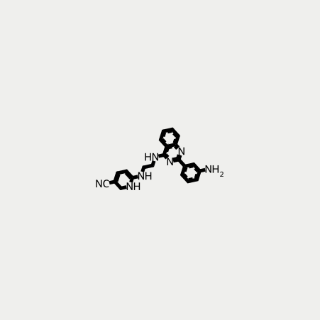 N#CC1=CC=C(NCCNc2nc(-c3cccc(N)c3)nc3ccccc23)NC1